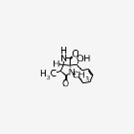 CC1C(=O)N(C)[C@@]2([C@@H](O)[C@@H]3C=CCCC3)C(=O)N[C@@H]12